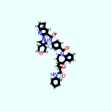 O=C(Nc1ccccc1F)c1cc2c(o1)-c1ccccc1N(C(=O)c1ccc(NC(=O)c3cc4c(nc3N3CC5(CCOCC5)C3)CCC4)cc1)CC2